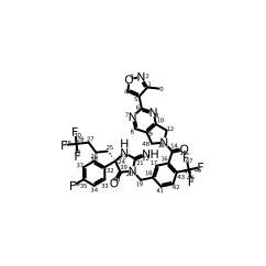 Cc1nocc1-c1ncc2c(n1)CN(C(=O)c1cc(CN3C(=N)N[C@](CCCC(F)(F)F)(c4ccc(F)cc4)C3=O)ccc1C(F)(F)F)C2